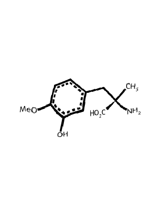 COc1ccc(C[C@](C)(N)C(=O)O)cc1O